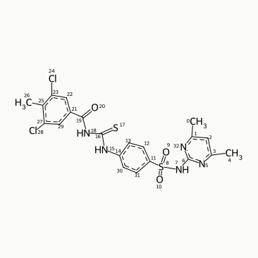 Cc1cc(C)nc(NS(=O)(=O)c2ccc(NC(=S)NC(=O)c3cc(Cl)c(C)c(Cl)c3)cc2)n1